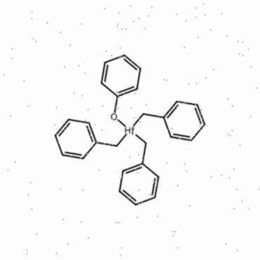 c1ccc([CH2][Hf]([CH2]c2ccccc2)([CH2]c2ccccc2)[O]c2ccccc2)cc1